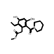 CCc1c(O)cc(O)c(C(=O)N2CCCCC2)c1CC(=O)OC